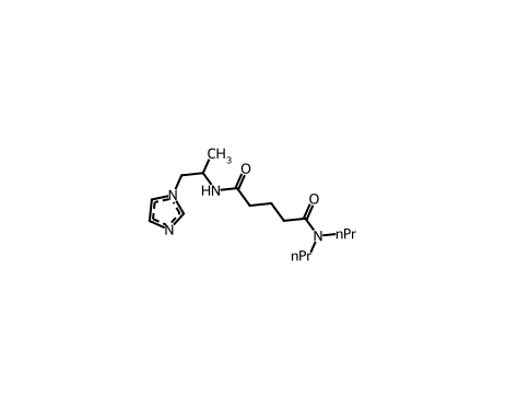 CCCN(CCC)C(=O)CCCC(=O)NC(C)Cn1ccnc1